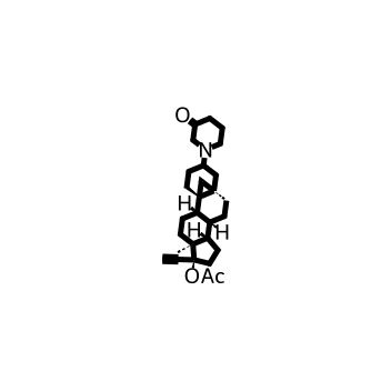 C#C[C@]1(OC(C)=O)CC[C@H]2[C@@H]3CC[C@]45CC(N6CCCC(=O)C6)CC[C@]4(C5)[C@H]3CC[C@@]21C